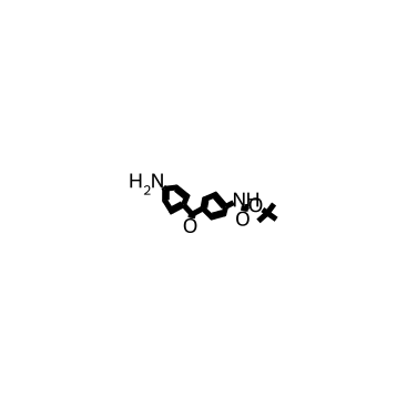 CC(C)(C)OC(=O)Nc1ccc(C(=O)c2ccc(N)cc2)cc1